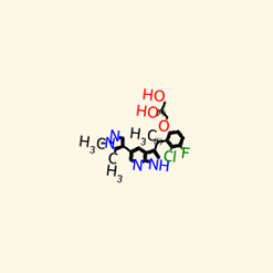 Cc1c(-c2cnc3[nH]cc([C@H](C)c4c(OC[C@H](O)CO)ccc(F)c4Cl)c3c2)cnn1C